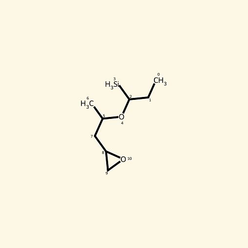 CCC([SiH3])OC(C)CC1CO1